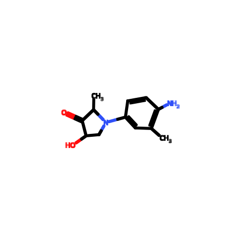 Cc1cc(N2CC(O)C(=O)C2C)ccc1N